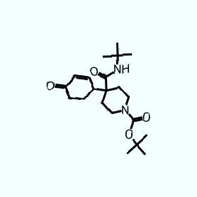 CC(C)(C)NC(=O)C1(C2C=CC(=O)CC2)CCN(C(=O)OC(C)(C)C)CC1